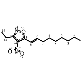 CCCCCCC/C=C/c1onc(CC)c1[N+](=O)[O-]